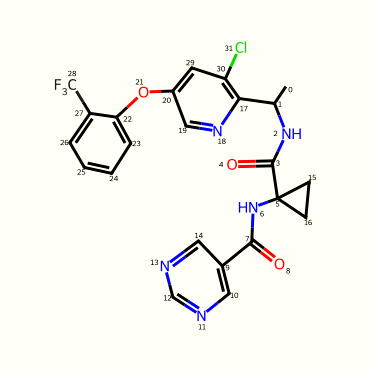 CC(NC(=O)C1(NC(=O)c2cncnc2)CC1)c1ncc(Oc2ccccc2C(F)(F)F)cc1Cl